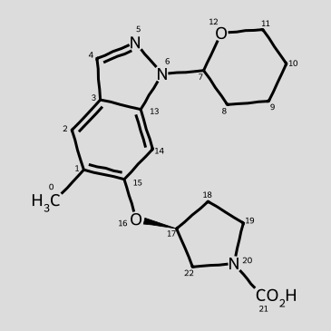 Cc1cc2cnn(C3CCCCO3)c2cc1O[C@H]1CCN(C(=O)O)C1